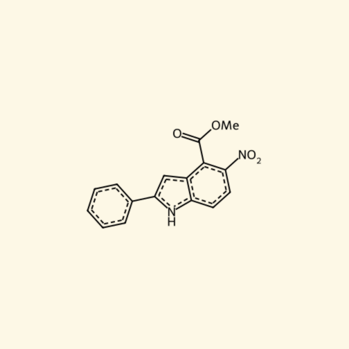 COC(=O)c1c([N+](=O)[O-])ccc2[nH]c(-c3ccccc3)cc12